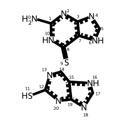 Nc1nc2nc[nH]c2c(=S)[nH]1.Sc1ncc2[nH]cnc2n1